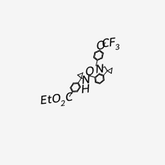 CCOC(=O)c1ccc(C2(NC(=O)c3cccc4c3N(Cc3ccc(OC(F)(F)F)cc3)CC43CC3)CC2)cc1